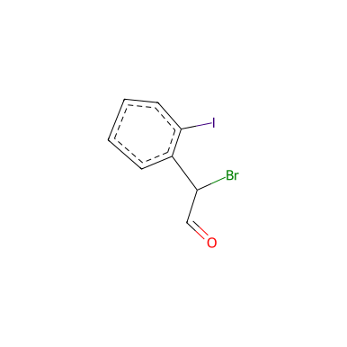 O=CC(Br)c1ccccc1I